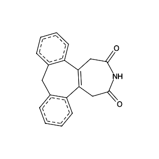 O=C1CC2=C(CC(=O)N1)c1ccccc1Cc1ccccc12